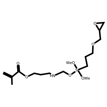 C=C(C)C(=O)OCCCNCO[Si](CCCOCC1CO1)(OC)OC